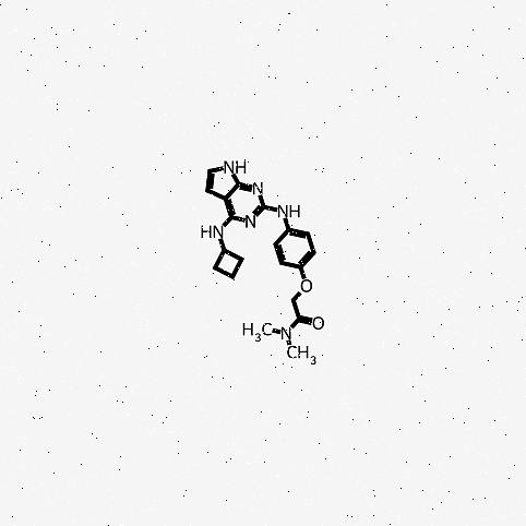 CN(C)C(=O)COc1ccc(Nc2nc(NC3CCC3)c3cc[nH]c3n2)cc1